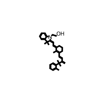 C=C(/C=C/C1=C(C)C(=C/C=C2/N(CCO)c3ccccc3C2(C)C)/CCC1)C(C)(C)c1ccccc1C